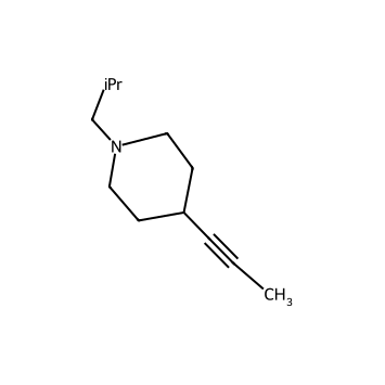 CC#CC1CCN(CC(C)C)CC1